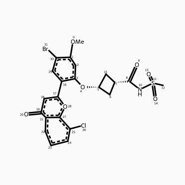 COc1cc(O[C@H]2C[C@@H](C(=O)NS(C)(=O)=O)C2)c(-c2cc(=O)c3cccc(Cl)c3o2)cc1Br